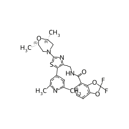 Cc1cc(-c2sc(N3C[C@@H](C)O[C@@H](C)C3)nc2CNC(=O)c2cccc3c2OC(F)(F)O3)cc(C)n1